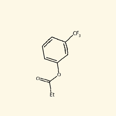 CCC(=O)Oc1cccc(C(F)(F)F)c1